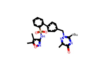 CCCCc1nc(=O)c(C)nn1Cc1ccc(-c2ccccc2S(=O)(=O)Nc2noc(C)c2C)cc1